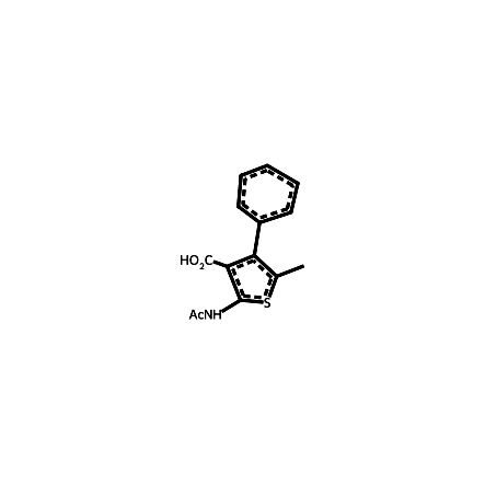 CC(=O)Nc1sc(C)c(-c2ccccc2)c1C(=O)O